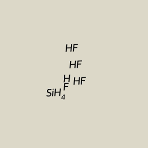 F.F.F.F.[SiH4]